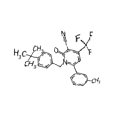 Cc1cccc(-c2cc(C(F)(F)F)c(C#N)c(=O)n2Cc2ccc(C(C)(C)C)cc2)c1